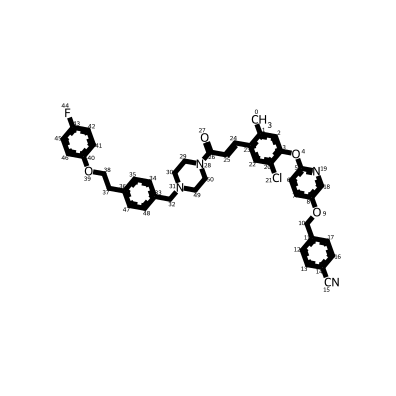 Cc1cc(Oc2ccc(OCc3ccc(C#N)cc3)cn2)c(Cl)cc1C=CC(=O)N1CCN(Cc2ccc(CCOc3ccc(F)cc3)cc2)CC1